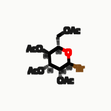 CC(=O)OC[C@@H]1O[C@@H](Br)[C@H](OC(C)=O)[C@H](OC(C)=O)[C@H]1OC(C)=O